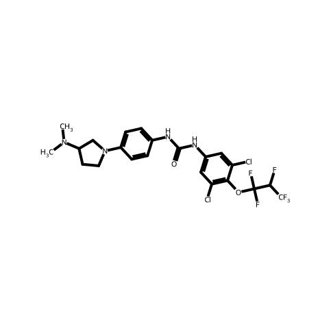 CN(C)C1CCN(c2ccc(NC(=O)Nc3cc(Cl)c(OC(F)(F)C(F)C(F)(F)F)c(Cl)c3)cc2)C1